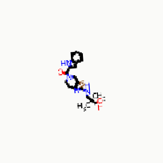 CC(C)(CO)CNc1nc2c(s1)CN(C(=O)c1cc3ccccc3[nH]1)CC2